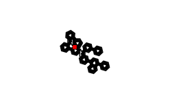 c1ccc(-c2cccc(N(c3ccc(-c4ccccc4-n4c5ccccc5c5ccccc54)cc3)c3cccc(-c4ccc(-c5ccccc5)c5ccccc45)c3)c2)cc1